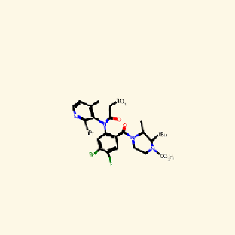 Cc1ccnc(C(C)C)c1N(C(=O)C[N+](=O)[O-])c1cc(Br)c(F)cc1C(=O)N1CCN(C(=O)O)C(C(C)(C)C)C1C